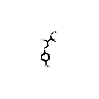 COC(=O)C(O)CSc1ccc(C)cc1